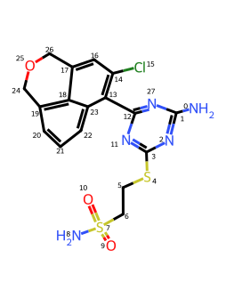 Nc1nc(SCCS(N)(=O)=O)nc(-c2c(Cl)cc3c4c(cccc24)COC3)n1